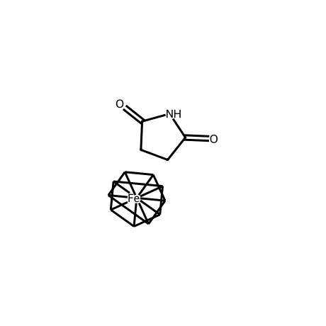 O=C1CCC(=O)N1.[CH]12[CH]3[CH]4[CH]5[CH]1[Fe]23451678[CH]2[CH]1[CH]6[CH]7[CH]28